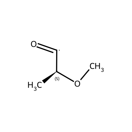 CO[C@@H](C)[C]=O